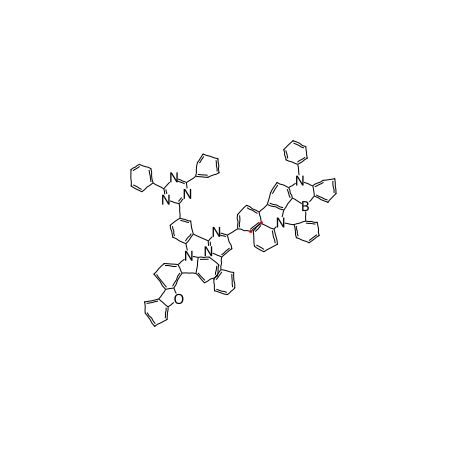 c1ccc(-c2cc(-c3ccc(-c4ccc5c6c4N(c4ccccc4)c4ccccc4B6c4ccccc4N5c4ccccc4)cc3)nc(-c3cc(-c4nc(-c5ccccc5)nc(-c5ccccc5)n4)ccc3-n3c4ccccc4c4c5oc6ccccc6c5ccc43)n2)cc1